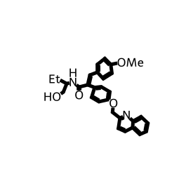 CCC(CO)NC(=O)/C(=C/c1ccc(OC)cc1)c1ccc(OCc2ccc3ccccc3n2)cc1